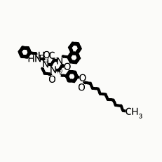 CCCCCCCCCCCC(=O)Oc1ccc(C[C@H]2C(=O)N(Cc3cccc4ccccc34)[C@@H](C)C3N(C(=O)NCc4ccccc4)CCC(=O)N32)cc1